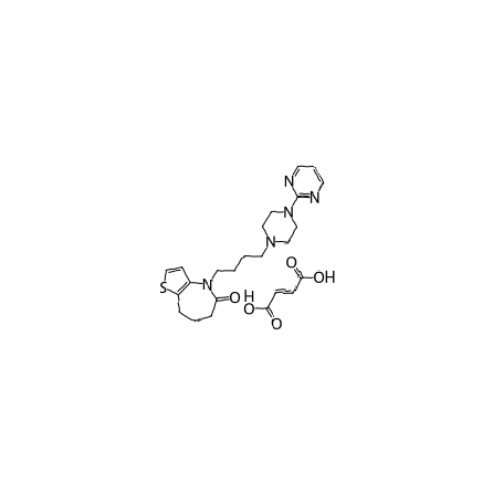 O=C(O)/C=C/C(=O)O.O=C1CCCc2sccc2N1CCCCN1CCN(c2ncccn2)CC1